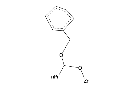 CCCC([O][Zr])OCc1ccccc1